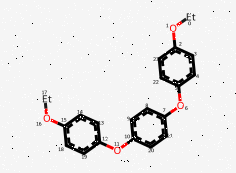 CCOc1ccc(Oc2ccc(Oc3ccc(OCC)cc3)cc2)cc1